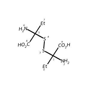 CCC(N)(SSC(N)(CC)C(=O)O)C(=O)O